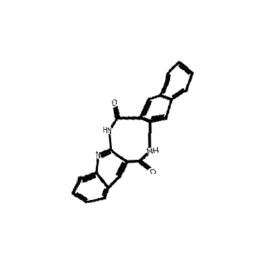 O=C1Nc2nc3ccccc3cc2C(=O)Nc2cc3ccccc3cc21